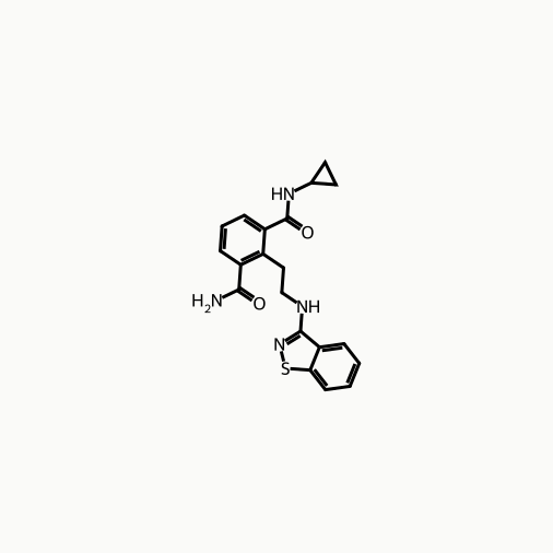 NC(=O)c1cccc(C(=O)NC2CC2)c1CCNc1nsc2ccccc12